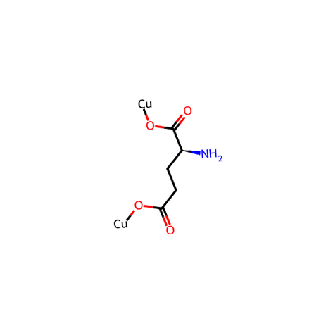 N[C@@H](CCC(=O)[O][Cu])C(=O)[O][Cu]